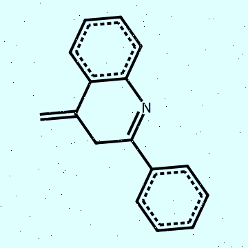 C=C1CC(c2ccccc2)=Nc2ccccc21